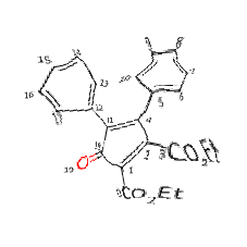 CCOC(=O)C1=C(C(=O)OCC)C(c2ccccc2)=C(c2ccccc2)C1=O